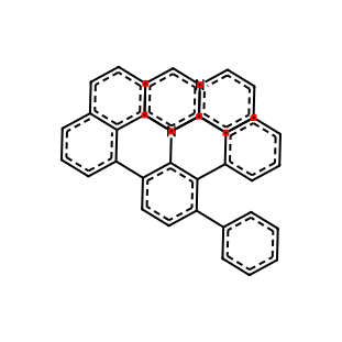 c1ccc(-c2ccccc2-c2c(-c3ccccc3)ccc3c2N(c2ccccn2)c2cccc4cccc-3c24)cc1